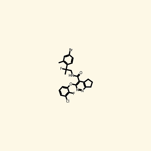 Cc1cc(Br)ccc1C(C)(F)CNC(=O)c1c(Oc2cccc(Cl)c2F)nnc2c1CCC2